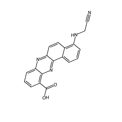 N#CCNc1cccc2c1ccc1nc3cccc(C(=O)O)c3nc12